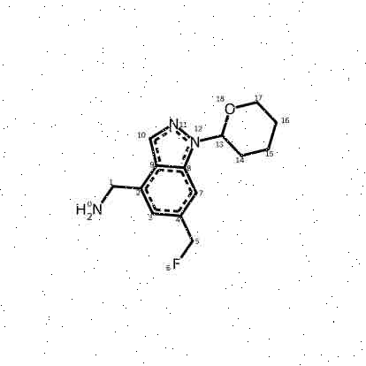 NCc1cc(CF)cc2c1cnn2C1CCCCO1